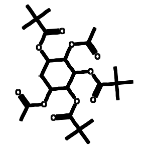 CC(=O)OC1[CH]C(OC(=O)C(C)(C)C)C(OC(C)=O)C(OC(=O)C(C)(C)C)C1OC(=O)C(C)(C)C